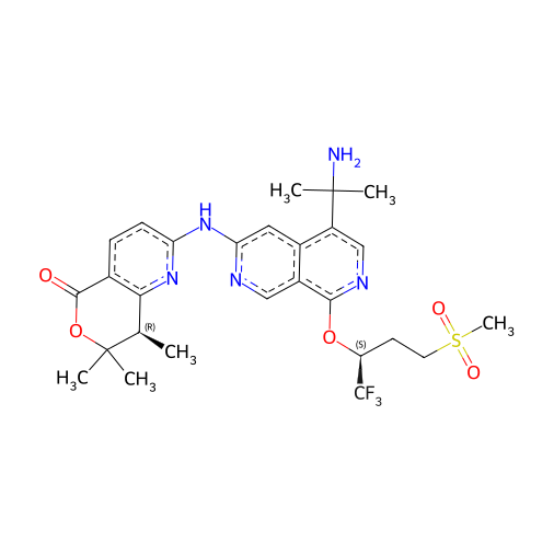 C[C@@H]1c2nc(Nc3cc4c(C(C)(C)N)cnc(O[C@@H](CCS(C)(=O)=O)C(F)(F)F)c4cn3)ccc2C(=O)OC1(C)C